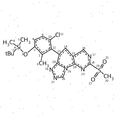 Cc1c(O[Si](C)(C)C(C)(C)C)ccc(Cl)c1-c1cc2cnc(S(C)(=O)=O)nc2n2cnnc12